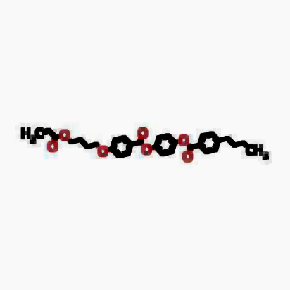 C=CC(=O)OCCCCOc1ccc(C(=O)Oc2ccc(OC(=O)c3ccc(CCCC)cc3)cc2)cc1